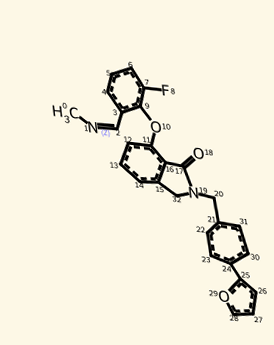 C/N=C\c1cccc(F)c1Oc1cccc2c1C(=O)N(Cc1ccc(-c3ccco3)cc1)C2